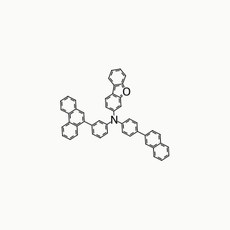 c1cc(-c2cc3ccccc3c3ccccc23)cc(N(c2ccc(-c3ccc4ccccc4c3)cc2)c2ccc3c(c2)oc2ccccc23)c1